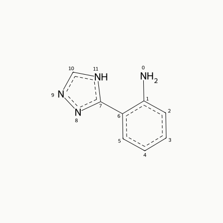 Nc1ccccc1-c1nnc[nH]1